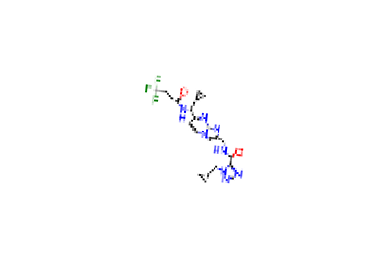 O=C(CCC(F)(F)F)NC(c1ccn2cc(CNC(=O)c3ncnn3CC3CC3)nc2n1)C1CC1